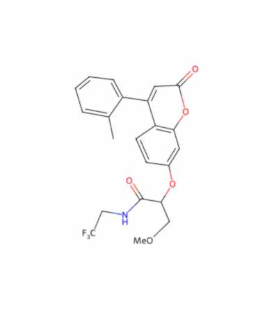 COCC(Oc1ccc2c(-c3ccccc3C)cc(=O)oc2c1)C(=O)NCC(F)(F)F